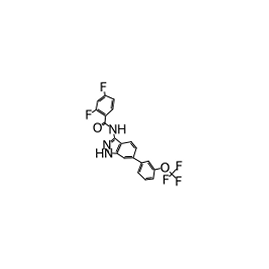 O=C(Nc1n[nH]c2cc(-c3cccc(OC(F)(F)F)c3)ccc12)c1ccc(F)cc1F